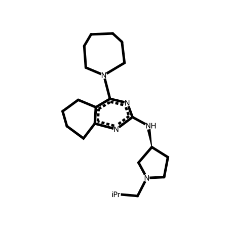 CC(C)CN1CC[C@H](Nc2nc3c(c(N4CCCCCC4)n2)CCCC3)C1